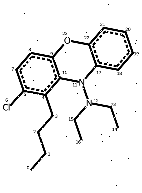 CCCCc1c(Cl)ccc2c1N(N(CC)CC)c1ccccc1O2